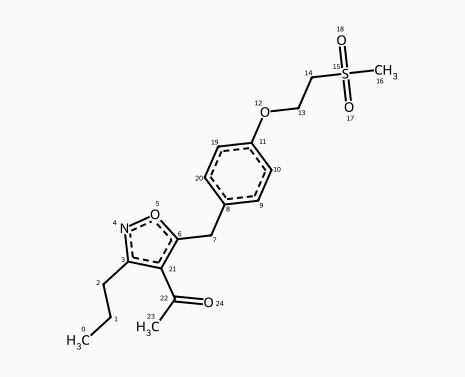 CCCc1noc(Cc2ccc(OCCS(C)(=O)=O)cc2)c1C(C)=O